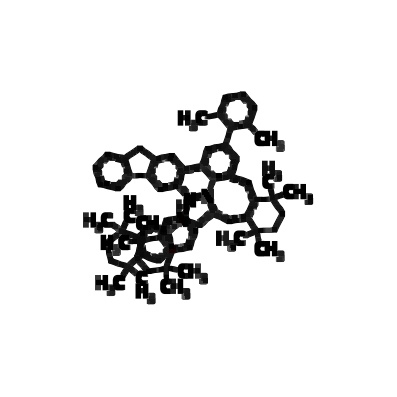 Cc1cccc(C)c1-c1cc2cc3c(c/c(=C/Nc4ccc5c(c4)C(C)(C)CCC5(C)C)n4n(-c5ccc6c(c5)C(C)(C)CCC6(C)C)c5cc6c(cc5c(c1)c2-4)Cc1ccccc1-6)C(C)(C)CCC3(C)C